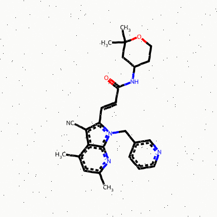 Cc1cc(C)c2c(C#N)c(C=CC(=O)NC3CCOC(C)(C)C3)n(Cc3cccnc3)c2n1